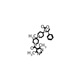 Cc1ncnc(C)c1C(=O)N1CCC(C)(N2CCC(N3C(=O)OC[C@H]3c3ccccc3)CC2)CC1